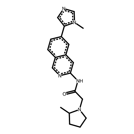 CC1CCCN1CC(=O)Nc1cc2cc(-c3cncn3C)ccc2cn1